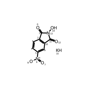 O=C1c2ccc([N+](=O)[O-])cc2C(=O)N1O.[KH]